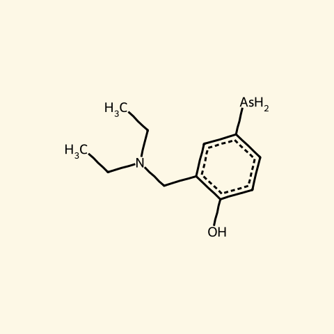 CCN(CC)Cc1cc([AsH2])ccc1O